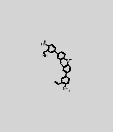 C=Cc1cc(-c2ccc3c(c2)Sc2cc(-c4ccc(NC)c(C=N)c4)ccc2N3C)ccc1N